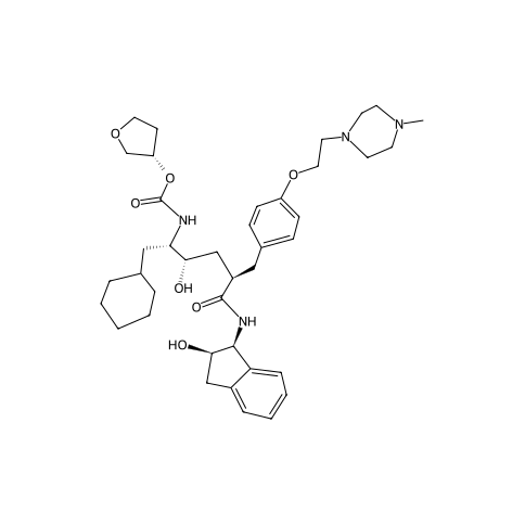 CN1CCN(CCOc2ccc(C[C@H](C[C@H](O)[C@H](CC3CCCCC3)NC(=O)O[C@H]3CCOC3)C(=O)N[C@H]3c4ccccc4C[C@H]3O)cc2)CC1